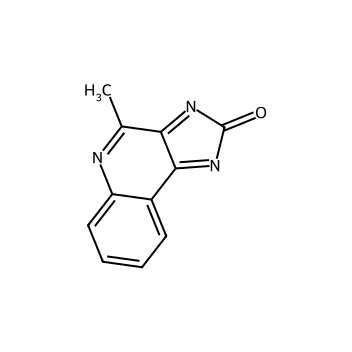 Cc1nc2ccccc2c2c1=NC(=O)N=2